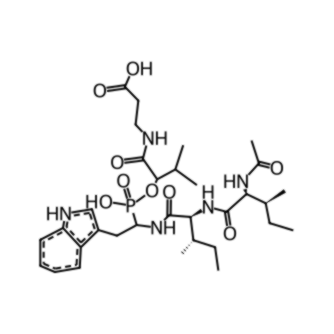 CC[C@H](C)[C@H](NC(C)=O)C(=O)N[C@H](C(=O)NC(Cc1c[nH]c2ccccc12)P(=O)(O)OC(C(=O)NCCC(=O)O)C(C)C)[C@@H](C)CC